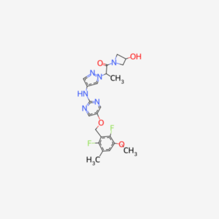 COc1cc(C)c(F)c(COc2cnc(Nc3cnn(C(C)C(=O)N4CC(O)C4)c3)nc2)c1F